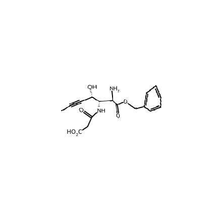 CC#C[C@H](O)[C@@H](NC(=O)CC(=O)O)C(N)C(=O)OCc1ccccc1